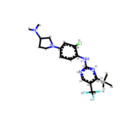 CN(C)C1CCN(c2ccc(Nc3ncc(C(F)(F)F)[c]([Sn]([CH3])([CH3])[CH3])n3)c(Cl)c2)C1